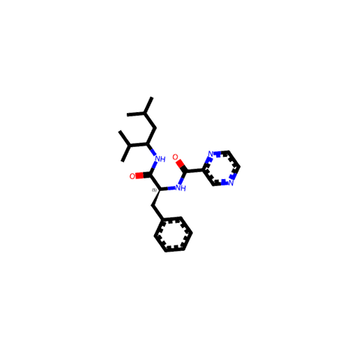 CC(C)CC(NC(=O)[C@H](Cc1ccccc1)NC(=O)c1cnccn1)C(C)C